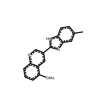 COc1cccc2ncc(-c3nc4cc(C)ccc4[nH]3)cc12